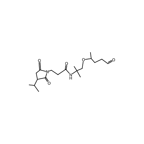 CC(CCC=O)OCC(C)(C)NC(=O)CCN1C(=O)CC(C(C)C)C1=O